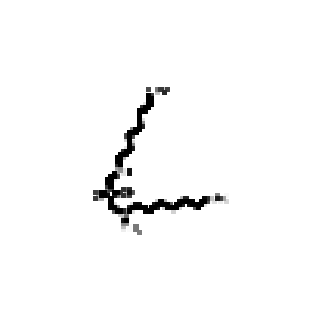 CCCCCCCCCCCCCCCCNCP(=O)(O)CN(C)CCCCCCCCCCCCCCCC